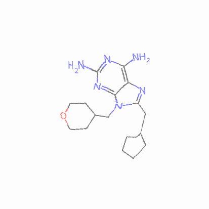 Nc1nc(N)c2nc(CC3CCCC3)n(CC3CCOCC3)c2n1